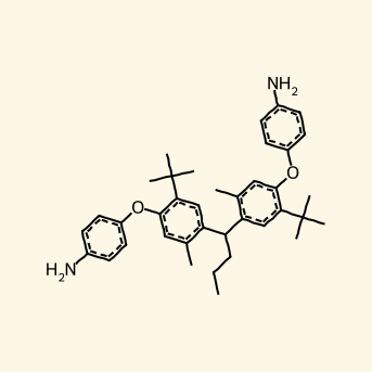 CCCC(c1cc(C(C)(C)C)c(Oc2ccc(N)cc2)cc1C)c1cc(C(C)(C)C)c(Oc2ccc(N)cc2)cc1C